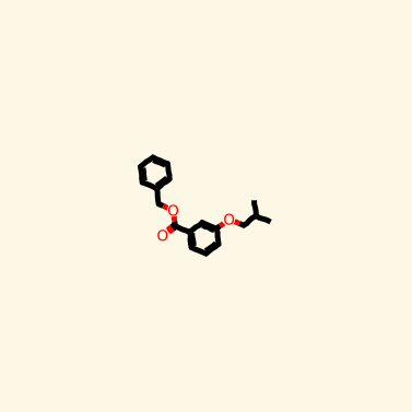 CC(C)COc1cccc(C(=O)OCc2ccccc2)c1